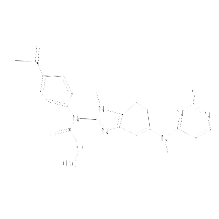 C=C(C)c1ccc(N(C(=O)OC(C)(C)C)c2nc3cc(N(C)c4ccnc(Cl)n4)ccc3n2C)cc1